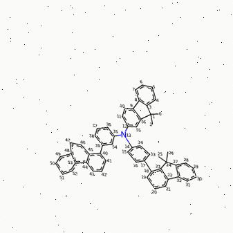 CC1(C)c2ccccc2-c2ccc(N(c3ccc(-c4cccc5c4C(C)(C)c4ccccc4-5)cc3)c3cccc(-c4cccc5c4ccc4ccccc45)c3)cc21